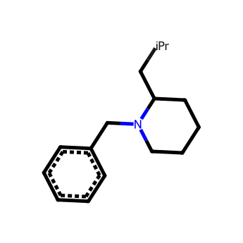 CC(C)CC1CCCCN1Cc1ccccc1